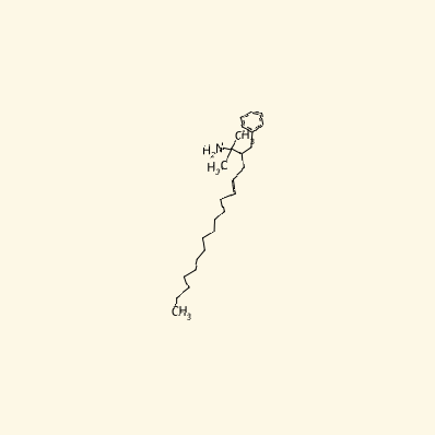 CCCCCCCCCCCCCCCC(Cc1ccccc1)C(C)(C)N